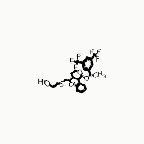 C[C@@H](O[C@H]1OCCC(C(O)CSCCO)C1c1ccccc1)c1cc(C(F)(F)F)cc(C(F)(F)F)c1